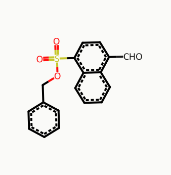 O=Cc1ccc(S(=O)(=O)OCc2ccccc2)c2ccccc12